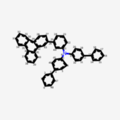 c1ccc(-c2ccc(N(c3ccc(-c4ccccc4)cc3)c3cccc(-c4ccc5c6ccccc6c6ccccc6c5c4)c3)cc2)cc1